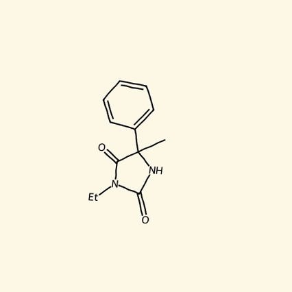 CCN1C(=O)NC(C)(c2ccccc2)C1=O